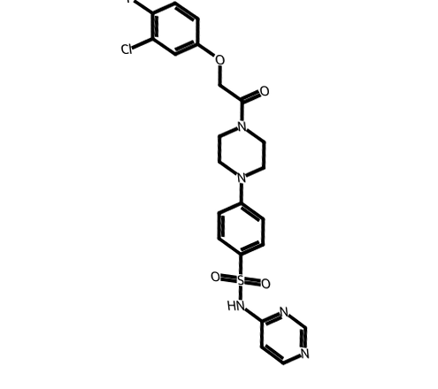 O=C(COc1ccc(F)c(Cl)c1)N1CCN(c2ccc(S(=O)(=O)Nc3ccncn3)cc2)CC1